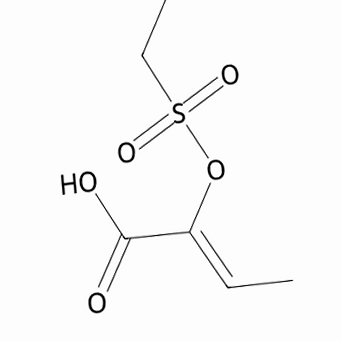 CC=C(OS(=O)(=O)CC)C(=O)O